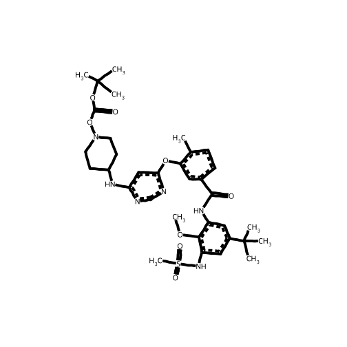 COc1c(NC(=O)c2ccc(C)c(Oc3cc(NC4CCN(OC(=O)OC(C)(C)C)CC4)ncn3)c2)cc(C(C)(C)C)cc1NS(C)(=O)=O